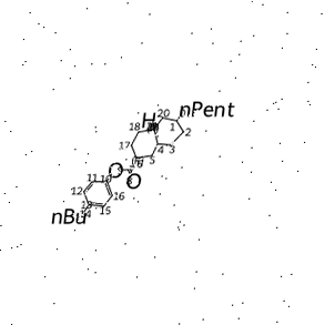 CCCCCC1CCC2C[C@H](C(=O)Oc3ccc(CCCC)cc3)CC[C@@H]2C1